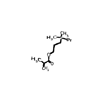 C=C(C)C(=O)OCCCS(C)(C)C(C)C